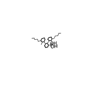 CCCCCc1cccc(-c2cccc(P(O)O)c2-c2cccc(CCCCC)c2C)c1C